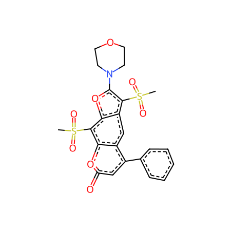 CS(=O)(=O)c1c(N2CCOCC2)oc2c(S(C)(=O)=O)c3oc(=O)cc(-c4ccccc4)c3cc12